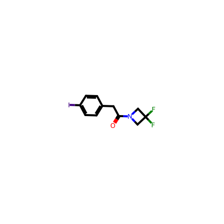 O=C(Cc1ccc(I)cc1)N1CC(F)(F)C1